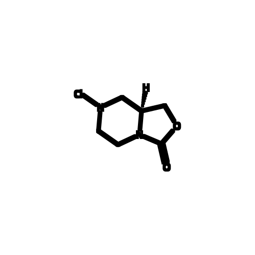 O=C1OC[C@@H]2CN(Cl)CCN12